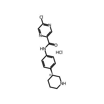 Cl.O=C(Nc1ccc([C@@H]2CCCNC2)cc1)c1cnc(Cl)cn1